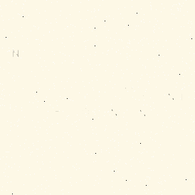 N#Cc1ccc(COc2cccc(N3CCNCC3=O)n2)c(F)c1